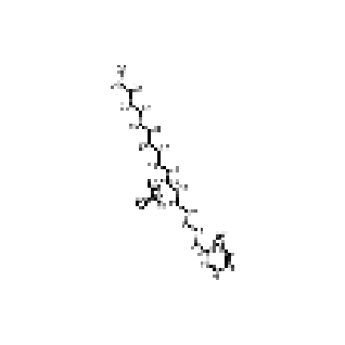 C=[N+]1C=CC=CC1CCCCCCCCCCCCCCCCCC.CC(=O)[O-]